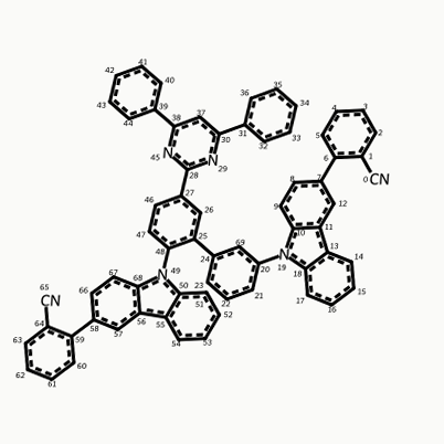 N#Cc1ccccc1-c1ccc2c(c1)c1ccccc1n2-c1cccc(-c2cc(-c3nc(-c4ccccc4)cc(-c4ccccc4)n3)ccc2-n2c3ccccc3c3cc(-c4ccccc4C#N)ccc32)c1